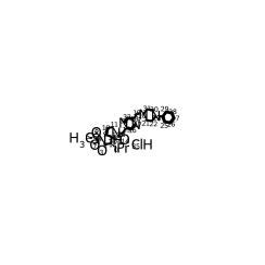 CC(C)[C@H]1C(=O)N(S(C)(=O)=O)C2=CCN(C(=O)c3cnc(CN4CCN(c5ccccc5)CC4)cn3)[C@@H]21.Cl